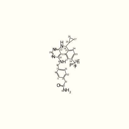 NC(=O)Cc1ccc(CNc2cc(NC(c3ccc(C(F)(F)F)cc3)C3CC3)ncn2)cc1